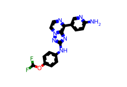 Nc1ccc(-c2nccn3nc(Nc4ccc(OC(F)F)cc4)nc23)cn1